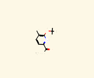 [2H]C([2H])([2H])Oc1nc(C(=O)OC)ccc1C